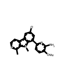 COc1ccc(-c2cc(Cl)cc3c4ccnc(C)c4n(C)c23)nc1N